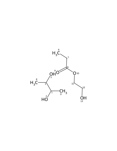 CC(O)C(C)O.CCC(=O)OCCO